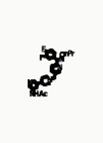 CCCO/N=C(\c1ccc(F)c(F)c1)c1ccc(CN2CCC(c3cncc(NC(C)=O)c3)CC2)cn1